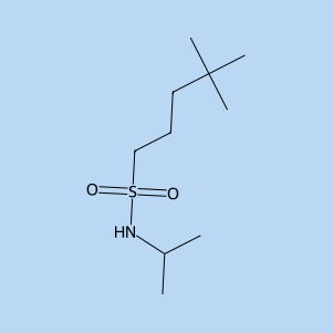 CC(C)NS(=O)(=O)CCCC(C)(C)C